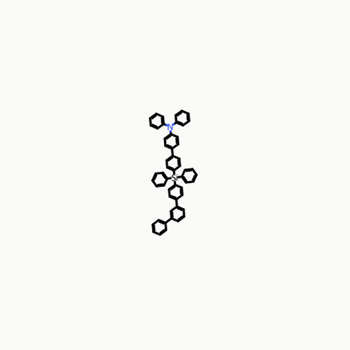 c1ccc(-c2cccc(-c3ccc([Si](c4ccccc4)(c4ccccc4)c4ccc(-c5ccc(N(c6ccccc6)c6ccccc6)cc5)cc4)cc3)c2)cc1